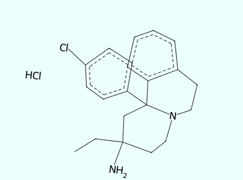 CCC1(N)CCN2CCc3ccccc3C2(c2ccc(Cl)cc2)C1.Cl